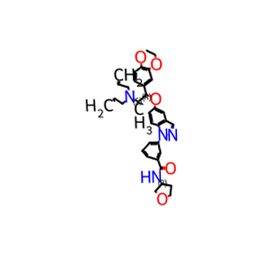 C=CCN(CC=C)[C@@H](C)[C@H](Oc1ccc2c(cnn2-c2cccc(C(=O)N[C@@H]3CCOC3)c2)c1)c1ccc2c(c1)OCCO2